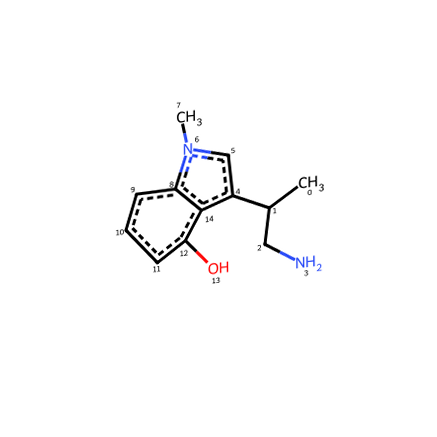 CC(CN)c1cn(C)c2cccc(O)c12